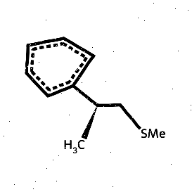 CSC[C@@H](C)c1ccccc1